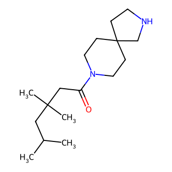 CC(C)CC(C)(C)CC(=O)N1CCC2(CCNC2)CC1